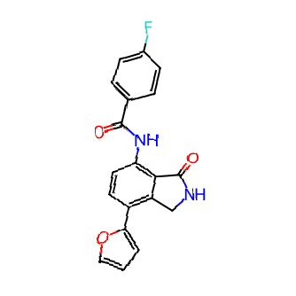 O=C(Nc1ccc(-c2ccco2)c2c1C(=O)NC2)c1ccc(F)cc1